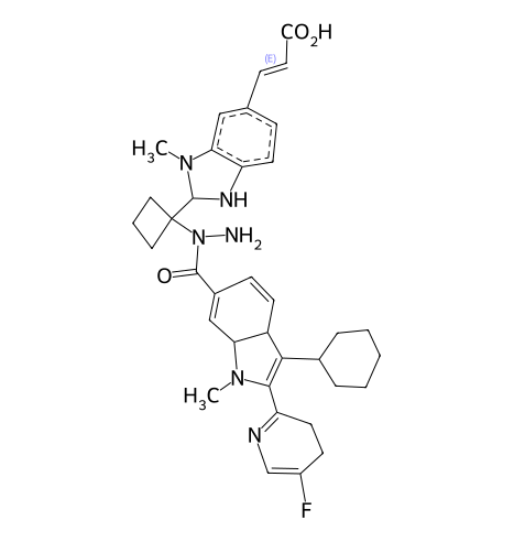 CN1C(C2=NC=C(F)CC2)=C(C2CCCCC2)C2C=CC(C(=O)N(N)C3(C4Nc5ccc(/C=C/C(=O)O)cc5N4C)CCC3)=CC21